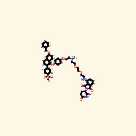 CCN(CCOCCOCCNc1cccc2c1C(=O)N(C1CCC(=O)NC1=O)C2=O)CCOc1ccc(Oc2c(-c3ccc(S(C)(=O)=O)cc3)ccc3cc(OCc4ccccc4)ccc23)cc1